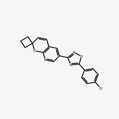 Clc1ccc(-c2nc(-c3cnc4c(c3)C=CC3(CCC3)O4)no2)cc1